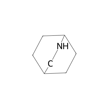 C1CC2CCC1CN2